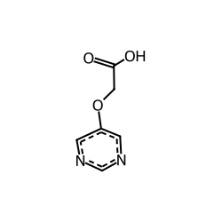 O=C(O)COc1cncnc1